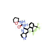 O=C(Nc1nc2ccncc2cc1-c1cccc(C(F)(F)F)c1C(F)(F)F)NC1CCCCO1